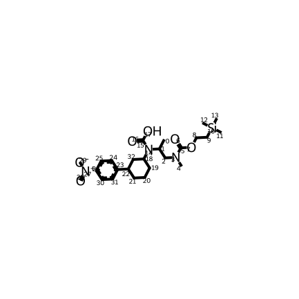 CC(CN(C)C(=O)OCC[Si](C)(C)C)N(C(=O)O)C1CCCC(c2ccc([N+](=O)[O-])cc2)C1